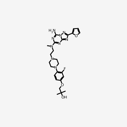 CN(CCN1CCN(c2ccc(OCC(C)(C)O)cc2F)CC1)c1nc(N)n2nc(-c3ccco3)nc2n1